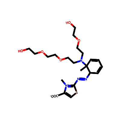 C[n+]1c(C(=O)[O-])csc1/N=N/C1C=CC=CC1(C)N(CCOCCO)CCOCCOCCO